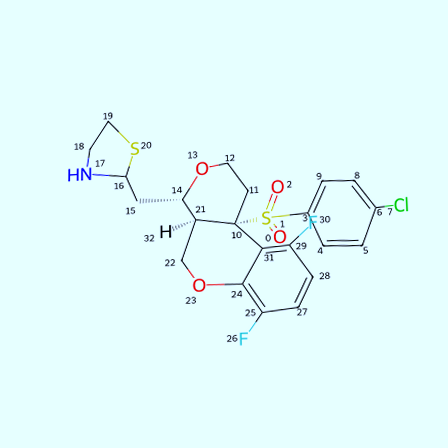 O=S(=O)(c1ccc(Cl)cc1)[C@@]12CCO[C@@H](CC3NCCS3)[C@@H]1COc1c(F)ccc(F)c12